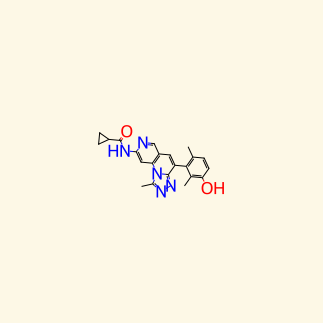 Cc1ccc(O)c(C)c1-c1cc2cnc(NC(=O)C3CC3)cc2n2c(C)nnc12